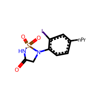 CCCc1ccc(N2CC(=O)NS2(=O)=O)c(I)c1